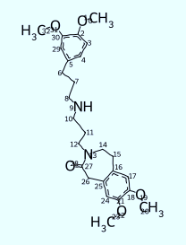 COc1ccc(CCCNCCCN2CCc3cc(OC)c(OC)cc3CC2=O)cc1OC